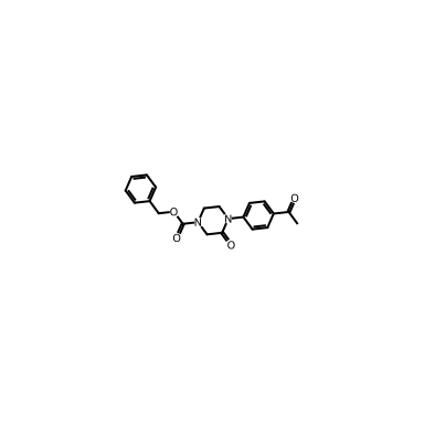 CC(=O)c1ccc(N2CCN(C(=O)OCc3ccccc3)CC2=O)cc1